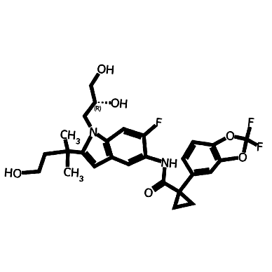 CC(C)(CCO)c1cc2cc(NC(=O)C3(c4ccc5c(c4)OC(F)(F)O5)CC3)c(F)cc2n1C[C@@H](O)CO